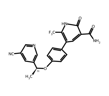 C[C@H](Oc1ccc(-c2cc(C(N)=O)c(=O)[nH]c2C(F)(F)F)cc1)c1cncc(C#N)c1